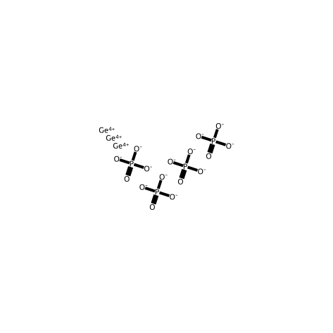 O=P([O-])([O-])[O-].O=P([O-])([O-])[O-].O=P([O-])([O-])[O-].O=P([O-])([O-])[O-].[Ge+4].[Ge+4].[Ge+4]